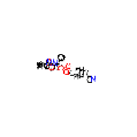 CC(C)(C)OC(=O)N[C@](COC(=O)O[C@H]1CC[C@@]2(C)C(=CC[C@@H]3[C@@H]2CC[C@]2(C)C(c4cccnc4)=CC[C@@H]32)C1)(C(=O)O)c1ccccc1